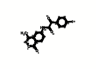 Cc1noc(=O)c2ccc(NC(=O)C(=O)c3ccc(I)cc3)cc12